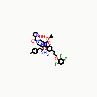 Cc1ccc(C(C(N)=O)[C@]23CC(c4ccc(CCCOc5c(F)ccc(F)c5F)cc4)=C(C(=O)OC4CC4)[C@@H](CN(C(=O)C4CCCN4O)C2)N3)cc1